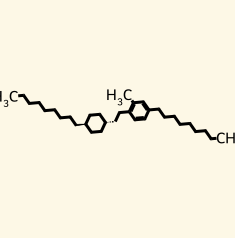 CCCCCCCCCc1ccc(CC[C@H]2CC[C@H](CCCCCCCCC)CC2)c(C)c1